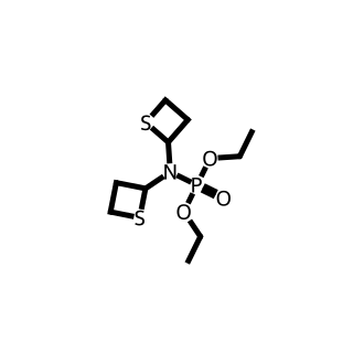 CCOP(=O)(OCC)N(C1CCS1)C1CCS1